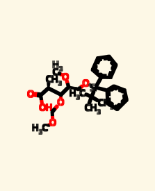 COCO[C@H]([C@H](CO[Si](c1ccccc1)(c1ccccc1)C(C)(C)C)OC)[C@H](C)C(=O)O